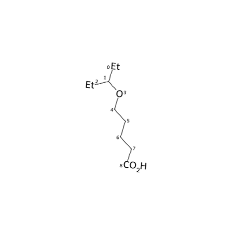 CCC(CC)OCCCCC(=O)O